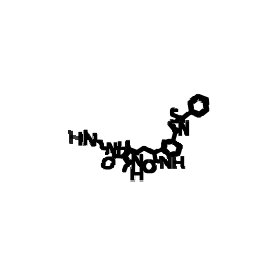 CNCCNC(=O)c1c(C)[nH]c(/C=C2\C(=O)Nc3ccc(-c4csc(-c5ccccc5)n4)cc32)c1C